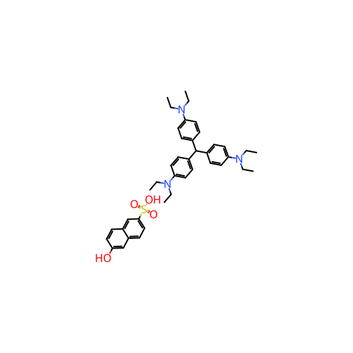 CCN(CC)c1ccc(C(c2ccc(N(CC)CC)cc2)c2ccc(N(CC)CC)cc2)cc1.O=S(=O)(O)c1ccc2cc(O)ccc2c1